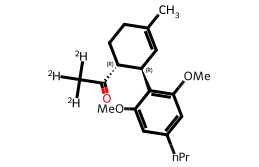 [2H]C([2H])([2H])C(=O)[C@@H]1CCC(C)=C[C@H]1c1c(OC)cc(CCC)cc1OC